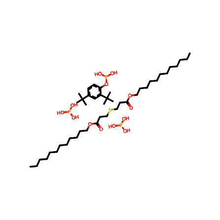 CC(C)(C)c1ccc(OP(O)O)c(C(C)(C)C)c1.CCCCCCCCCCCCOC(=O)CCSCCC(=O)OCCCCCCCCCCCC.OP(O)O.OP(O)O